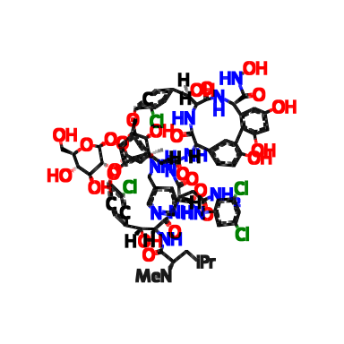 CN[C@H](CC(C)C)C(=O)N[C@H]1C(=O)N[C@@H](CC(N)=O)C(=O)N[C@H]2C(=O)N[C@H]3C(=O)N[C@H](C(=O)N[C@@H](C(=O)NO)c4cc(O)cc(O)c4-c4cc3ccc4O)[C@H](O)c3ccc(c(Cl)c3)Oc3cc2cc(c3O[C@@H]2O[C@H](CO)[C@@H](O)[C@H](O)[C@H]2O[C@H]2C[C@](C)(NCc3cncc(C(=O)Nc4cc(Cl)cc(Cl)c4)c3)[C@H](O)[C@H](C)O2)Oc2ccc(cc2Cl)[C@H]1O